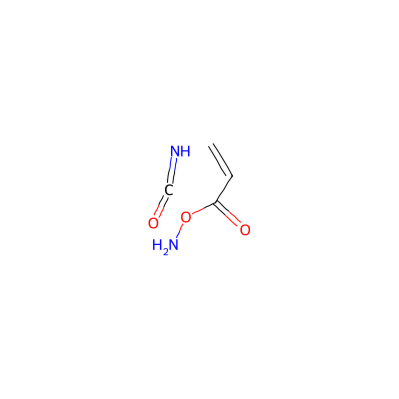 C=CC(=O)ON.N=C=O